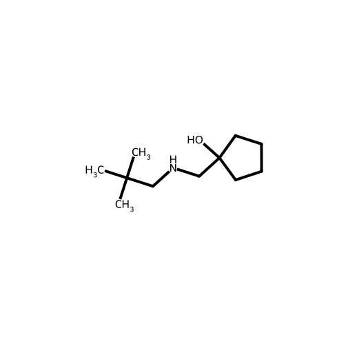 CC(C)(C)CNCC1(O)CCCC1